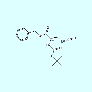 CC(C)(C)OC(=O)N[C@H](CN=C=O)C(=O)OCc1ccccc1